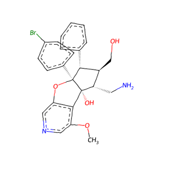 COc1cncc2c1[C@]1(O)[C@@H](CN)[C@H](CO)[C@@H](c3ccccc3)[C@]1(c1ccc(Br)cc1)O2